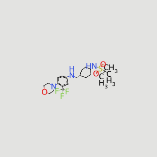 CC(C)(C)S(=O)(=O)N[C@H]1CC[C@H](CNc2ccc(N3CCOCC3)c(C(F)(F)F)c2)CC1